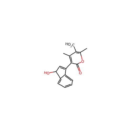 Cc1oc(=O)c(C2=CC(O)c3ccccc32)c(C)c1C(=O)O